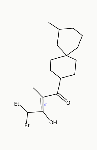 CCC(CC)/C(O)=C(\C)C(=O)C1CCC2(CCCC(C)C2)CC1